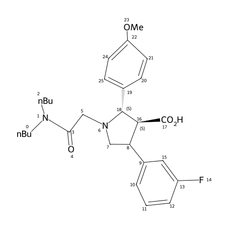 CCCCN(CCCC)C(=O)CN1CC(c2cccc(F)c2)[C@H](C(=O)O)[C@H]1c1ccc(OC)cc1